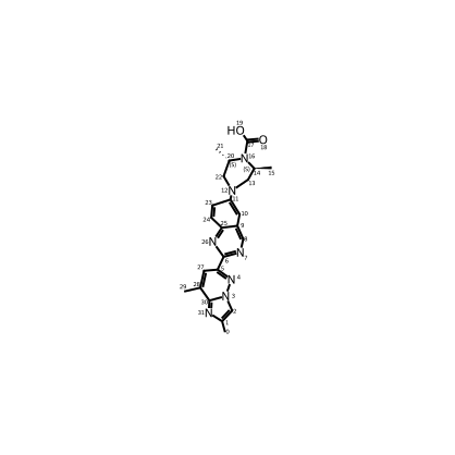 Cc1cn2nc(-c3ncc4cc(N5C[C@H](C)N(C(=O)O)[C@@H](C)C5)ccc4n3)cc(C)c2n1